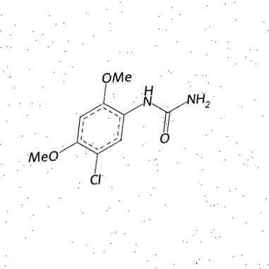 COc1cc(OC)c(NC(N)=O)cc1Cl